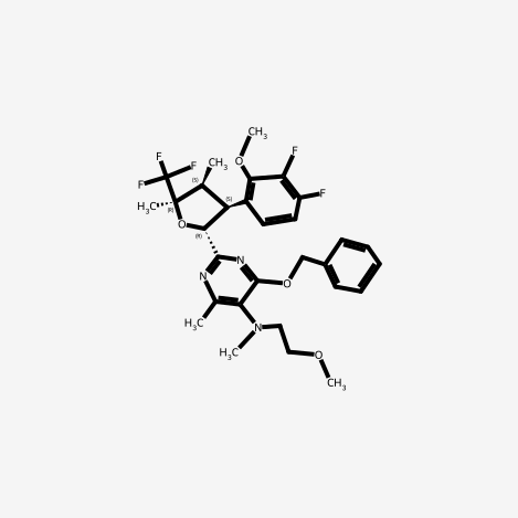 COCCN(C)c1c(C)nc([C@@H]2O[C@@](C)(C(F)(F)F)[C@@H](C)[C@H]2c2ccc(F)c(F)c2OC)nc1OCc1ccccc1